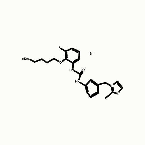 CCCCCCCCCCCCCCOc1c(F)cccc1NC(=O)Nc1cccc(C[n+]2ccsc2C)c1.[Br-]